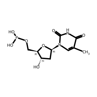 Cc1cn([C@H]2C[C@H](O)[C@@H](COP(O)O)O2)c(=O)[nH]c1=O